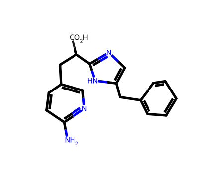 Nc1ccc(CC(C(=O)O)c2ncc(Cc3ccccc3)[nH]2)cn1